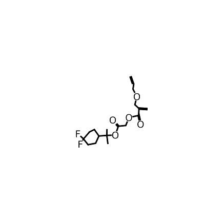 C=CCOCC(=C)C(=O)OCC(=O)OC(C)(C)C1CCC(F)(F)CC1